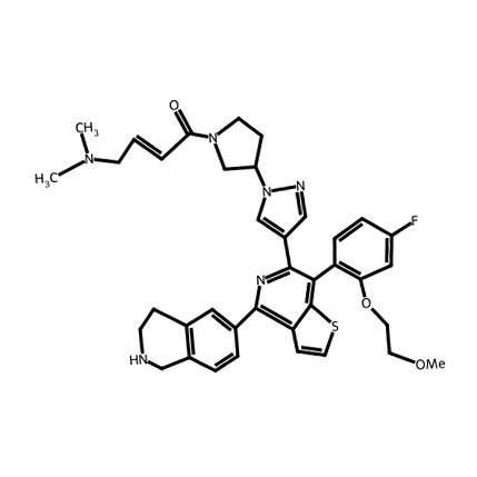 COCCOc1cc(F)ccc1-c1c(-c2cnn(C3CCN(C(=O)/C=C/CN(C)C)C3)c2)nc(-c2ccc3c(c2)CCNC3)c2ccsc12